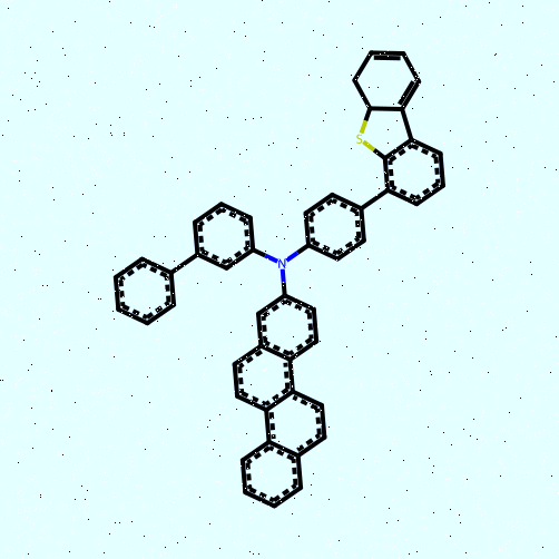 C1=CCC2Sc3c(cccc3-c3ccc(N(c4cccc(-c5ccccc5)c4)c4ccc5c(ccc6c7ccccc7ccc56)c4)cc3)C2=C1